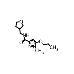 CCCOc1cc(C(=O)NCC2CCOC2)nn1C